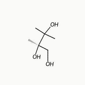 CC(C)(O)[C@](C)(O)CO